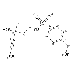 CC(C)(C)C#CC(C)(O)CCOS(=O)(=O)c1ccc(CBr)cc1